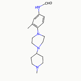 Cc1cc(NC=O)ccc1N1CCN(C2CCN(C)CC2)CC1